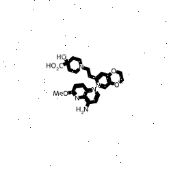 COc1ccc2nccc(N)c2n1.O=C(O)C1(O)CCN(CCc2cc3c(cn2)OCCO3)CC1